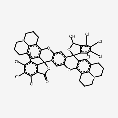 O=C1OC2(c3cc4c(cc3Oc3c2cc2c5c3CCCN5CCC2)C2(OC(O)c3c(Cl)c(Cl)c(Cl)c(Cl)c32)c2cc3c5c(c2O4)CCCN5CCC3)c2c(Cl)c(Cl)c(Cl)c(Cl)c21